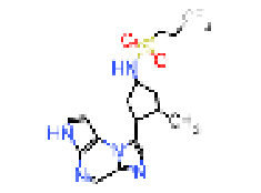 CC1CC(NS(=O)(=O)CCC(F)(F)F)CC1c1cnc2cnc3[nH]ccc3n12